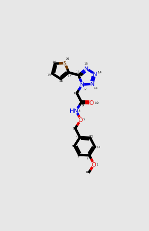 COc1ccc(CONC(=O)Cn2nnnc2-c2cccs2)cc1